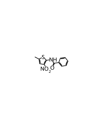 Cc1cc([N+](=O)[O-])c(NC(=O)c2ccccc2)s1